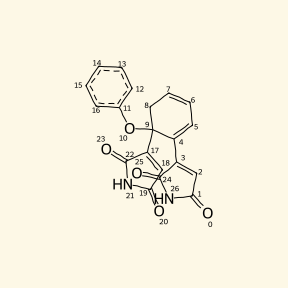 O=C1C=C(C2=CC=CCC2(Oc2ccccc2)C2=CC(=O)NC2=O)C(=O)N1